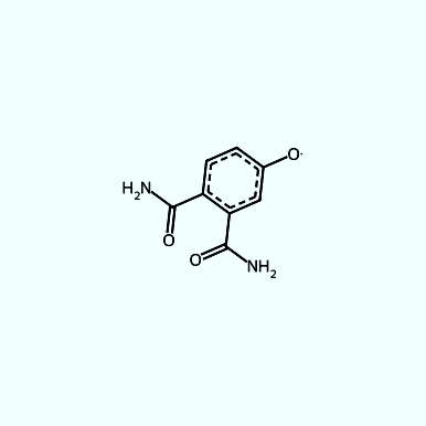 NC(=O)c1ccc([O])cc1C(N)=O